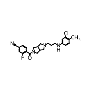 Cc1ccc(NCCCN2CC3CN(C(=O)c4ccc(C#N)cc4F)CC3C2)cc1Cl